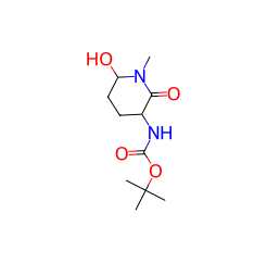 CN1C(=O)C(NC(=O)OC(C)(C)C)CCC1O